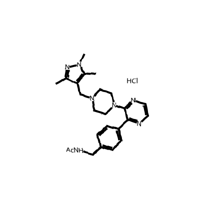 CC(=O)NCc1ccc(-c2nccnc2N2CCN(Cc3c(C)nn(C)c3C)CC2)cc1.Cl